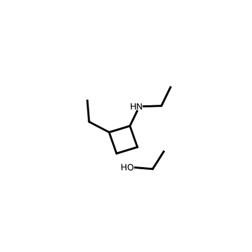 CCNC1CCC1CC.CCO